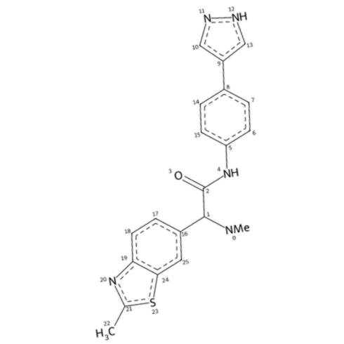 CNC(C(=O)Nc1ccc(-c2cn[nH]c2)cc1)c1ccc2nc(C)sc2c1